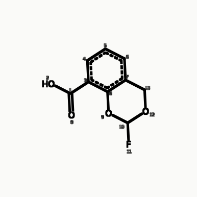 O=C(O)c1cccc2c1OC(F)OC2